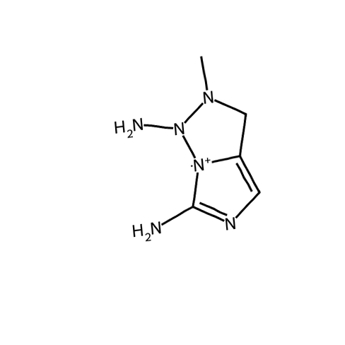 CN1CC2=CN=C(N)[N+]2N1N